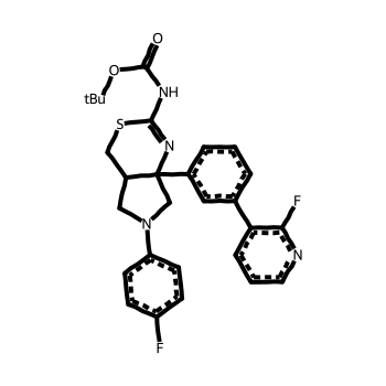 CC(C)(C)OC(=O)NC1=NC2(c3cccc(-c4cccnc4F)c3)CN(c3ccc(F)cc3)CC2CS1